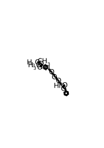 CC(C)(C)OC(=O)N1CCN(CCOCCOCCOCCNC(=O)OCc2ccccc2)CC1